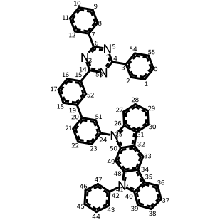 c1ccc(-c2nc(-c3ccccc3)nc(-c3cccc(-c4cccc(-n5c6ccccc6c6cc7c8ccccc8n(-c8ccccc8)c7cc65)c4)c3)n2)cc1